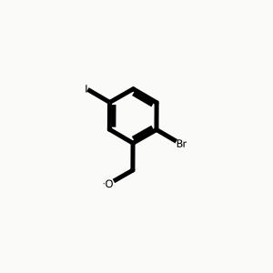 [O]Cc1cc(I)ccc1Br